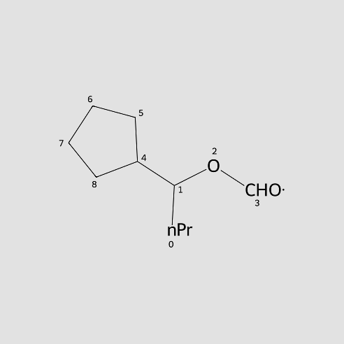 CCCC(O[C]=O)C1CCCC1